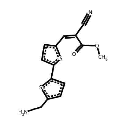 COC(=O)C(C#N)=Cc1ccc(-c2ccc(CN)s2)s1